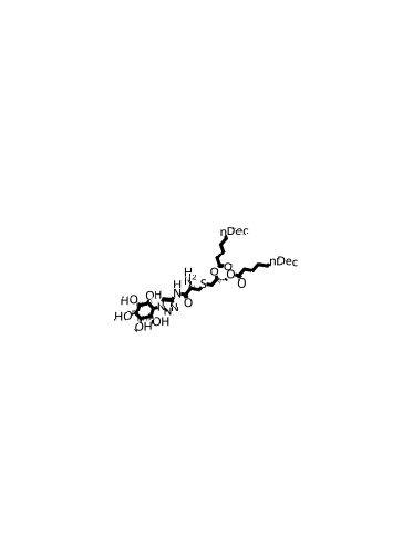 CCCCCCCCCCCCCCC(=O)OC[C@H](CSC[C@@H](N)C(=O)Nc1cn(C2[C@H](O)[C@H](O)[C@@H](O)[C@H](O)[C@H]2O)nn1)OC(=O)CCCCCCCCCCCCCC